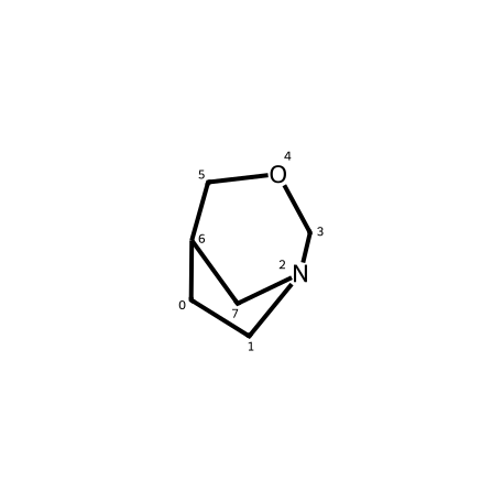 C1CN2COCC1C2